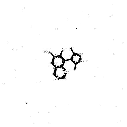 Cc1noc(C)c1-c1c(Cl)c(C(=O)O)cc2cncnc12